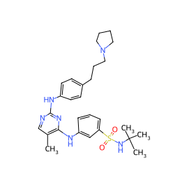 Cc1cnc(Nc2ccc(CCCN3CCCC3)cc2)nc1Nc1cccc(S(=O)(=O)NC(C)(C)C)c1